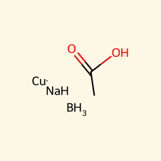 B.CC(=O)O.[Cu].[NaH]